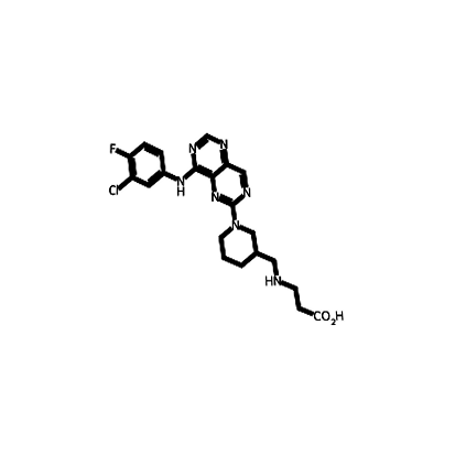 O=C(O)CCNCC1CCCN(c2ncc3ncnc(Nc4ccc(F)c(Cl)c4)c3n2)C1